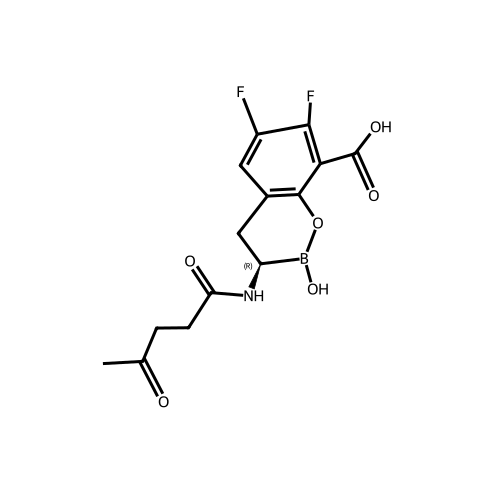 CC(=O)CCC(=O)N[C@H]1Cc2cc(F)c(F)c(C(=O)O)c2OB1O